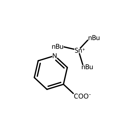 CCC[CH2][Sn+]([CH2]CCC)[CH2]CCC.O=C([O-])c1cccnc1